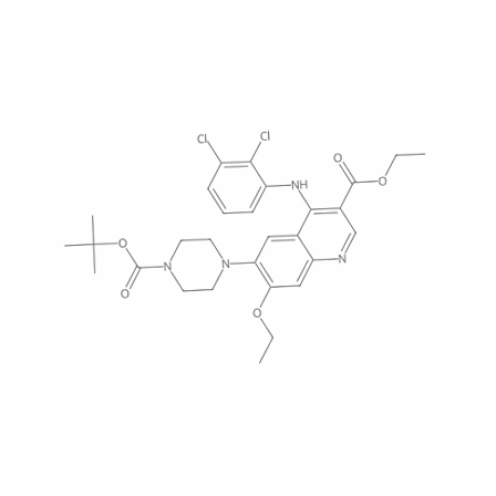 CCOC(=O)c1cnc2cc(OCC)c(N3CCN(C(=O)OC(C)(C)C)CC3)cc2c1Nc1cccc(Cl)c1Cl